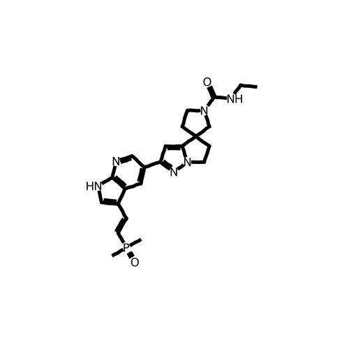 CCNC(=O)N1CCC2(CCn3nc(-c4cnc5[nH]cc(/C=C/P(C)(C)=O)c5c4)cc32)C1